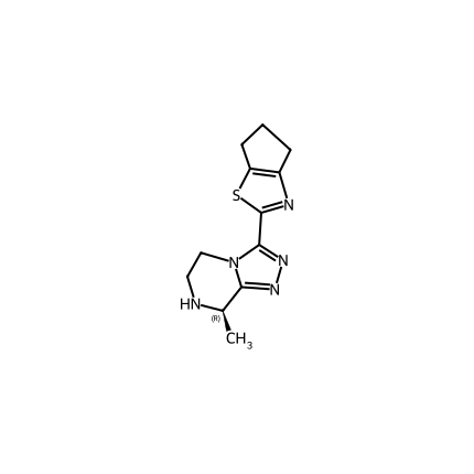 C[C@H]1NCCn2c(-c3nc4c(s3)CCC4)nnc21